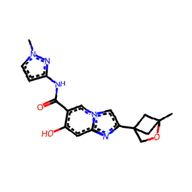 Cn1ccc(NC(=O)c2cn3cc(C45COC(C)(C4)C5)nc3cc2O)n1